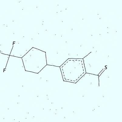 CC(=S)c1ccc(C2CCC(C(F)(F)F)CC2)cc1C